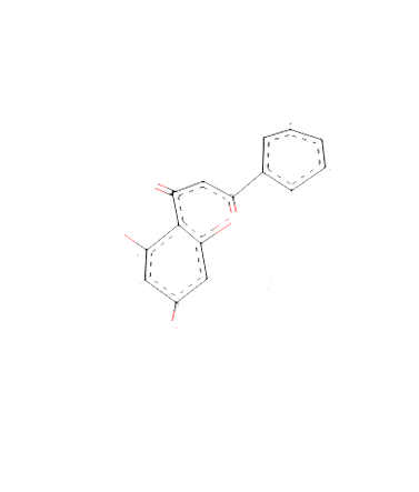 O=c1cc(-c2ccccc2)oc2cc(O)cc(O)c12.[Zn]